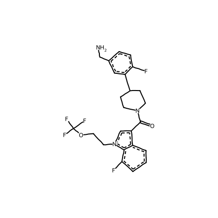 NCc1ccc(F)c(C2CCN(C(=O)c3cn(CCOC(F)(F)F)c4c(F)cccc34)CC2)c1